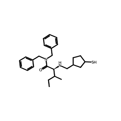 CCC(C)[C@H](NCC1CCC(S)C1)C(=O)N(Cc1ccccc1)Cc1ccccc1